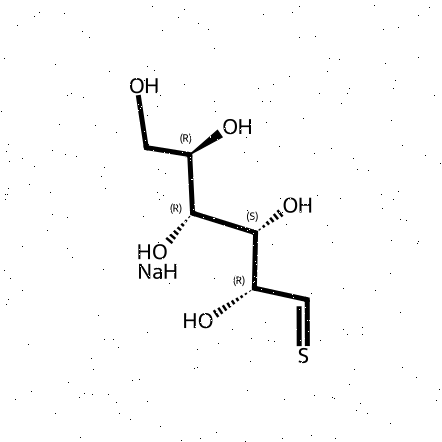 OC[C@@H](O)[C@@H](O)[C@H](O)[C@@H](O)C=S.[NaH]